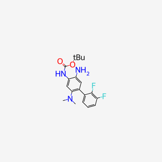 CN(C)c1cc(NC(=O)OC(C)(C)C)c(N)cc1-c1cccc(F)c1F